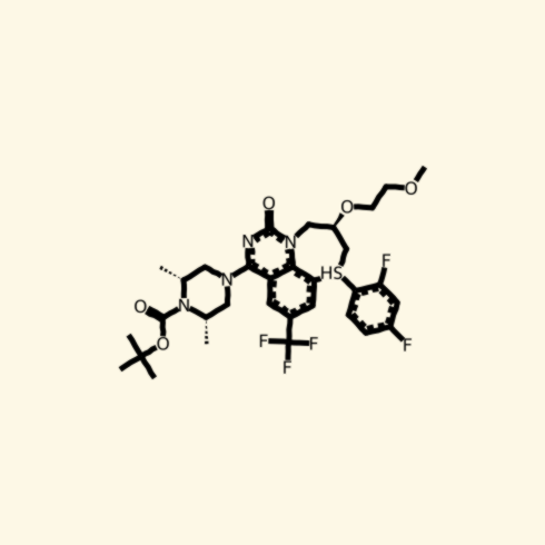 COCCO[C@@H]1Cn2c(=O)nc(N3C[C@@H](C)N(C(=O)OC(C)(C)C)[C@@H](C)C3)c3cc(C(F)(F)F)cc(c32)[SH](c2ccc(F)cc2F)C1